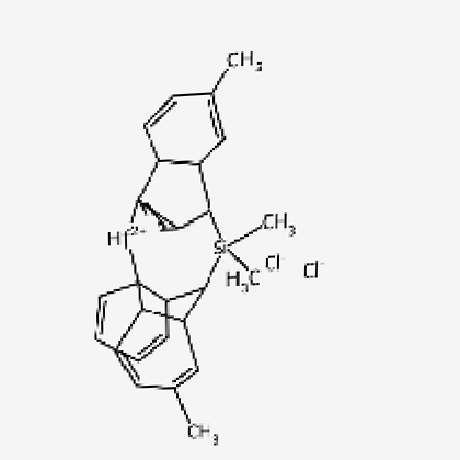 CC1=CC2C(C=C1)[C]13C=CC=CC1C2[Si](C)(C)C1C2C=C(C)C=CC2[C]2(C=CC=CC12)[Hf+2]3.[Cl-].[Cl-]